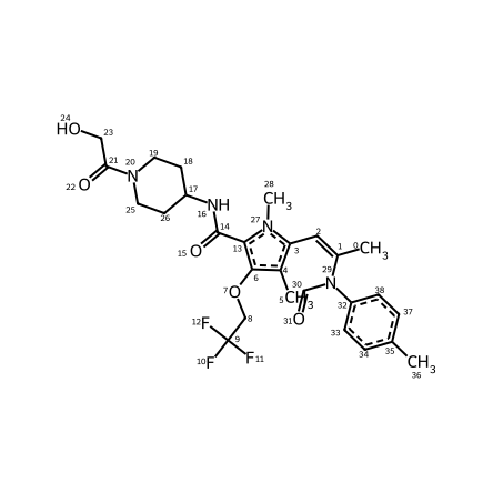 C/C(=C/c1c(C)c(OCC(F)(F)F)c(C(=O)NC2CCN(C(=O)CO)CC2)n1C)N(C=O)c1ccc(C)cc1